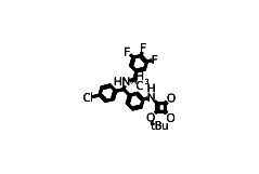 C[C@@H](NC(c1ccc(Cl)cc1)c1cccc(Nc2c(OC(C)(C)C)c(=O)c2=O)c1)c1cc(F)c(F)c(F)c1